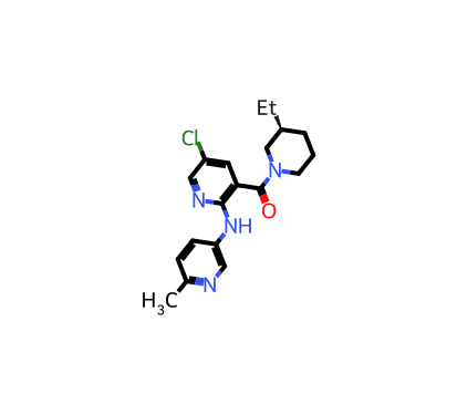 CC[C@H]1CCCN(C(=O)c2cc(Cl)cnc2Nc2ccc(C)nc2)C1